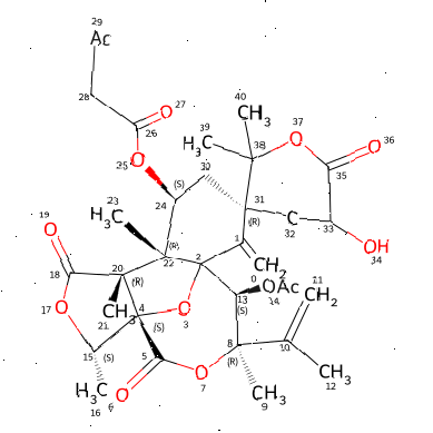 C=C1C23O[C@]4(C(=O)O[C@](C)(C(=C)C)[C@@H]2OC(C)=O)[C@H](C)OC(=O)[C@]4(C)[C@]3(C)[C@@H](OC(=O)CC(C)=O)C[C@]12CC(O)C(=O)OC2(C)C